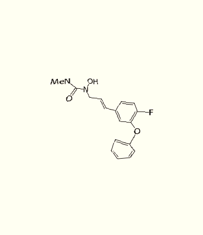 CNC(=O)N(O)CC=Cc1ccc(F)c(Oc2ccccc2)c1